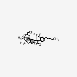 C=CC(=O)OC(C)(C)CC(C)(C)Sc1ccc2cc(-c3ccc(CCCCC)cc3C(F)(F)F)c(=O)oc2c1